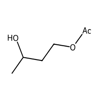 CC(=O)OCCC(C)O